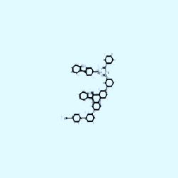 N#Cc1ccc(-c2cccc(-c3ccc4c5ccc(-c6cccc(-c7nc(-c8ccccc8)nc(-c8ccc9c(c8)sc8ccccc89)n7)c6)cc5c5oc6ccccc6c5c4c3)c2)cc1